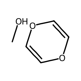 C1=COC=CO1.CO